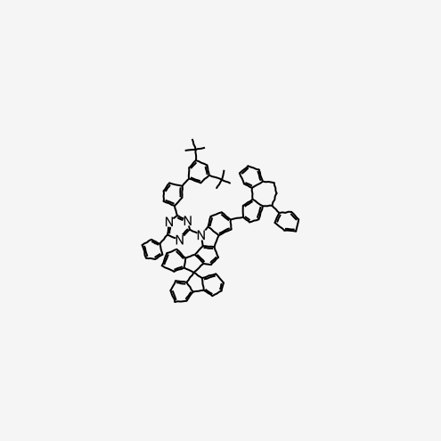 CC(C)(C)c1cc(-c2cccc(-c3nc(-c4ccccc4)nc(-n4c5ccc(-c6ccc7c(c6)-c6ccccc6CCC7c6ccccc6)cc5c5ccc6c(c54)-c4ccccc4C64c5ccccc5-c5ccccc54)n3)c2)cc(C(C)(C)C)c1